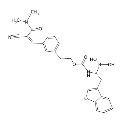 CN(C)C(=O)C(C#N)=Cc1cccc(CCOC(=O)NC(Cc2coc3ccccc23)B(O)O)c1